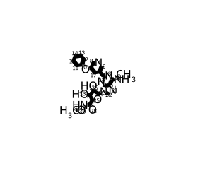 CNc1nc(-c2cncc(Oc3ccccc3)c2)nc2c1ncn2C1OC(C(=O)NOC)C(O)C1O